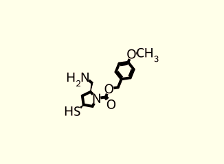 COc1ccc(COC(=O)N2C[C@@H](S)C[C@H]2CN)cc1